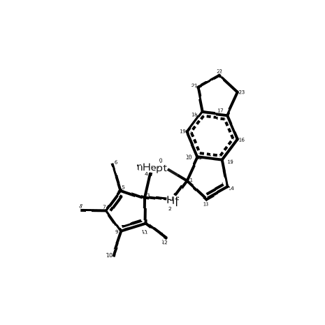 CCCCCCC[C]1([Hf][C]2(C)C(C)=C(C)C(C)=C2C)C=Cc2cc3c(cc21)CCC3